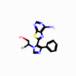 CCC(CO)n1cnc(-c2ccccc2)c1-c1nc2c(N)ncnc2s1